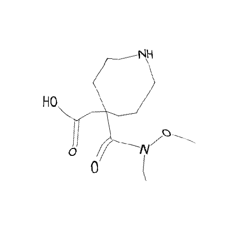 CON(C)C(=O)C1(C(=O)O)CCNCC1